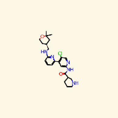 CC1(C)C[C@@H](CNc2cccc(-c3cc(NC(=O)C4CCCNC4)ncc3Cl)n2)CCO1